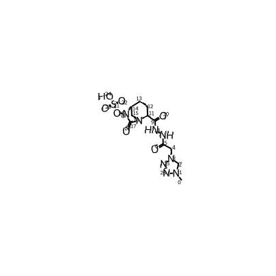 CN1CN(CC(=O)NNC(=O)C2CCC3CN2C(=O)N3OS(=O)(=O)O)N=N1